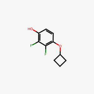 Oc1ccc(OC2CCC2)c(F)c1F